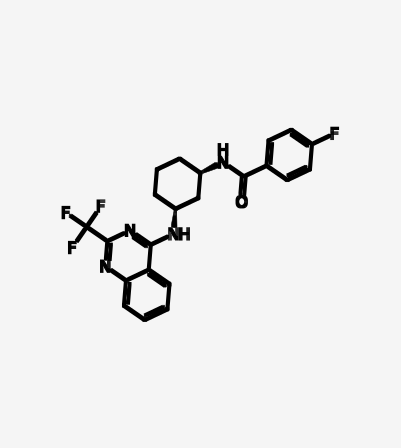 O=C(N[C@@H]1CCC[C@H](Nc2nc(C(F)(F)F)nc3ccccc23)C1)c1ccc(F)cc1